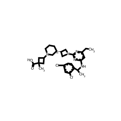 CCc1cc(NC(C)c2ccc(Cl)cc2Cl)nc(N2CC([C@H]3CCCN(C4CC(C)(C(=O)O)C4)C3)C2)n1